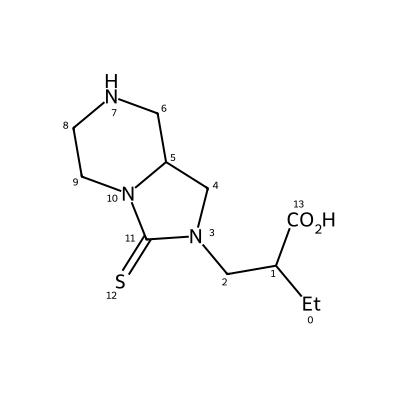 CCC(CN1CC2CNCCN2C1=S)C(=O)O